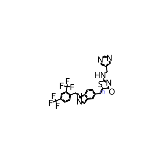 O=C1N=C(NCc2cncnc2)S/C1=C\c1ccc2c(cnn2Cc2ccc(C(F)(F)F)cc2C(F)(F)F)c1